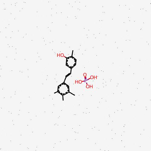 Cc1ccc(C=Cc2cc(C)c(C)c(C)c2)cc1O.O=P(O)(O)O